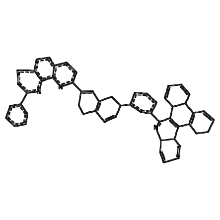 C1=CC2N=C(c3cccc(C4C=CC5=C(C=C(c6ccc7ccc8ccc(-c9ccccc9)nc8c7n6)CC5)C4)c3)C3=C(C4=C(C=CCC4)C4C=CC=CC34)C2C=C1